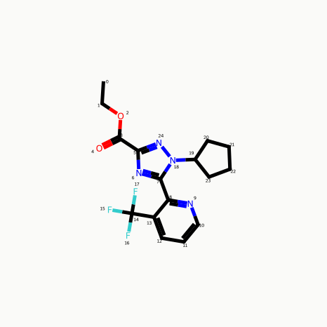 CCOC(=O)c1nc(-c2ncccc2C(F)(F)F)n(C2CCCC2)n1